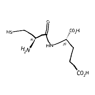 N[C@@H](CS)C(=O)N[C@@H](CCC(=O)O)C(=O)O